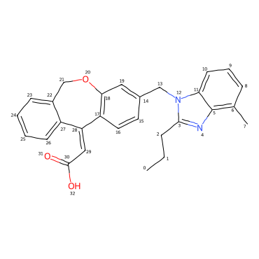 CCCc1nc2c(C)cccc2n1Cc1ccc2c(c1)OCc1ccccc1C2=CC(=O)O